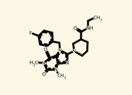 CCNC(=O)C1CCCN(c2nc3c(c(=O)n(C)c(=O)n3C)n2Cc2ccc(F)cc2)C1